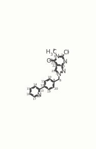 Cn1c(Cl)nc2nn(Cc3ccc(-c4ccccn4)cc3)cc2c1=O